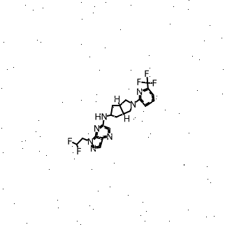 FC(F)Cn1ncc2ncc(NC3C[C@@H]4CN(c5cccc(C(F)(F)F)n5)C[C@@H]4C3)nc21